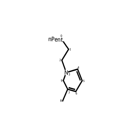 CCCCCCCN1C=CC=C(C)C1